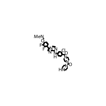 CNCOc1ccc(-c2cnc3c(Nc4ccc(C(=O)N5CCN(C(=O)N6CCNCC6)CC5)c(Cl)c4)nccn23)c(F)c1F